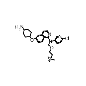 C[Si](C)(C)CCOCN(c1ccc(Cl)nc1)c1nccc2cc(OC3CCC(N)CC3)ccc12